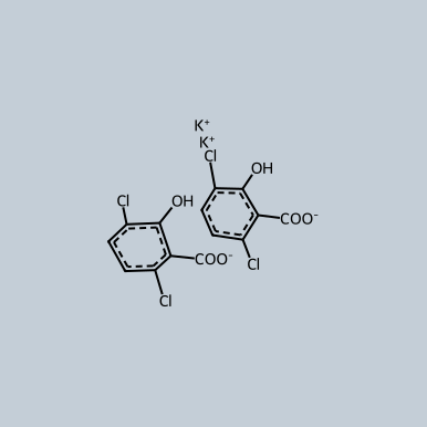 O=C([O-])c1c(Cl)ccc(Cl)c1O.O=C([O-])c1c(Cl)ccc(Cl)c1O.[K+].[K+]